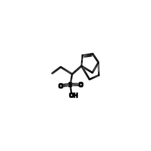 CCC(C12C=CC(CC1)C2)S(=O)(=O)O